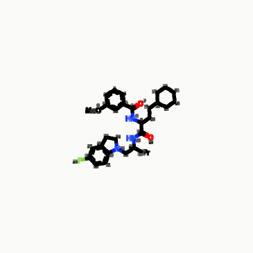 COc1cccc(C(=O)NC(CCC2CCCCC2)C(=O)NC(CN2CCc3cc(F)ccc32)C(C)C)c1